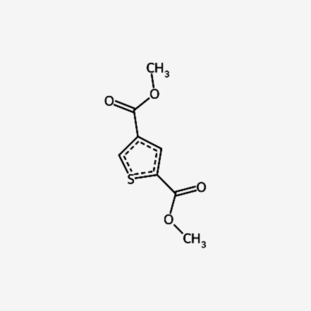 COC(=O)c1csc(C(=O)OC)c1